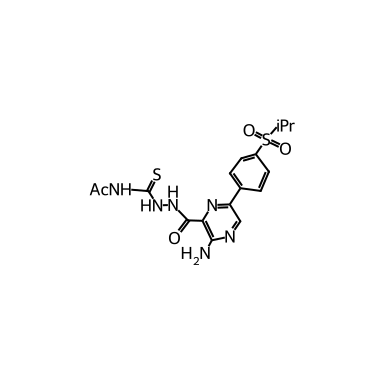 CC(=O)NC(=S)NNC(=O)c1nc(-c2ccc(S(=O)(=O)C(C)C)cc2)cnc1N